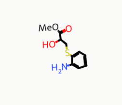 COC(=O)C(O)CSc1ccccc1N